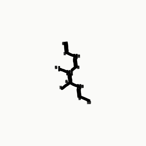 C=C\N=C/[N+](I)=C(C)\N=C\C